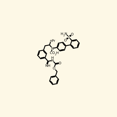 CCCC(Cc1cccc(C(=N)NC(=O)OCc2ccccc2)c1)N(C(=O)O)c1ccc(-c2ccccc2S(N)(=O)=O)cc1